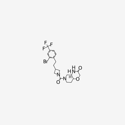 O=C1COC2CCN(C(=O)N3CC(CCc4ccc(C(F)(F)F)cc4Br)C3)C[C@H]2N1